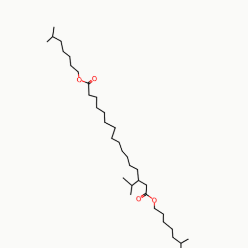 CC(C)CCCCCOC(=O)CCCCCCCCCCCCC(CC(=O)OCCCCCC(C)C)C(C)C